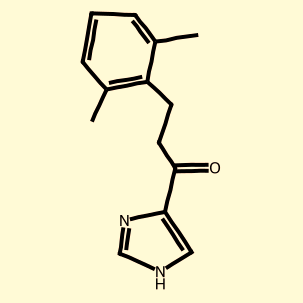 Cc1cccc(C)c1CCC(=O)c1c[nH]cn1